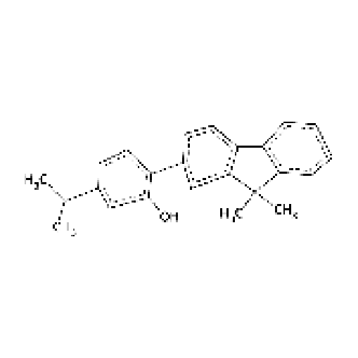 CC(C)c1ccc(-c2ccc3c(c2)C(C)(C)c2ccccc2-3)c(O)c1